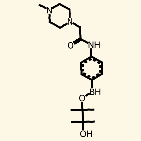 CN1CCN(CC(=O)Nc2ccc(BOC(C)(C)C(C)(C)O)cc2)CC1